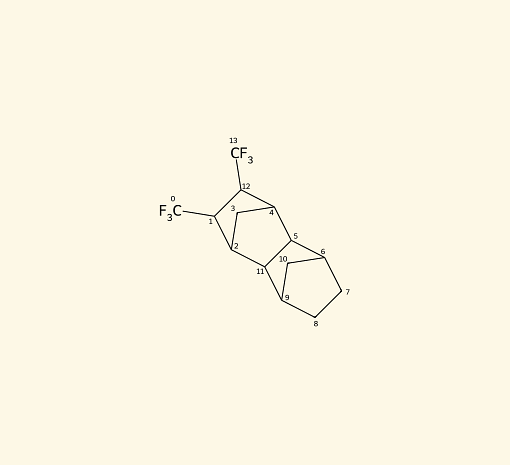 FC(F)(F)C1C2CC(C3C4CCC(C4)C23)C1C(F)(F)F